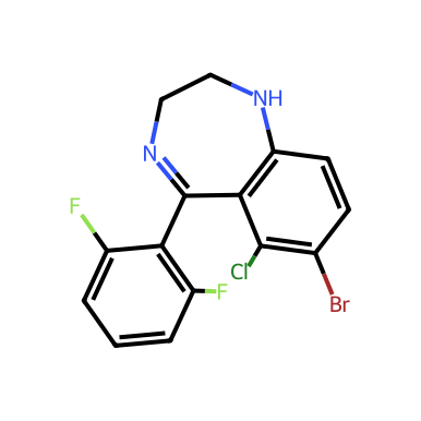 Fc1cccc(F)c1C1=NCCNc2ccc(Br)c(Cl)c21